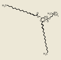 CCCCCCCCCCCCCC=CC=CC(=O)OC[C@H](COP(=O)(O)OCC[N+](C)(C)C)OC(=O)C=CC=CCCCCCCCCCCCCC